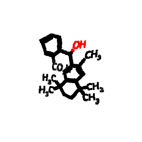 Cc1cc2c(cc1C(O)c1ccccc1C(=O)O)C(C)(C)CCC2(C)C